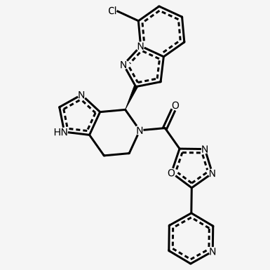 O=C(c1nnc(-c2cccnc2)o1)N1CCc2[nH]cnc2[C@H]1c1cc2cccc(Cl)n2n1